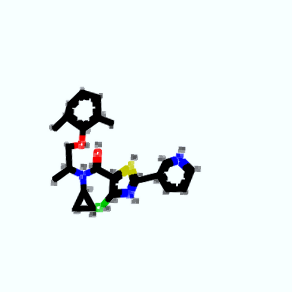 Cc1cccc(C)c1OCC(C)N(C(=O)c1sc(-c2cccnc2)nc1Cl)C1CC1